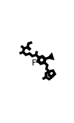 C=C(CC)C(C)C(C)CCCC(C)c1cc(C2CC2)c(CCC23CC=C(CC(C)C2)C3)cc1F